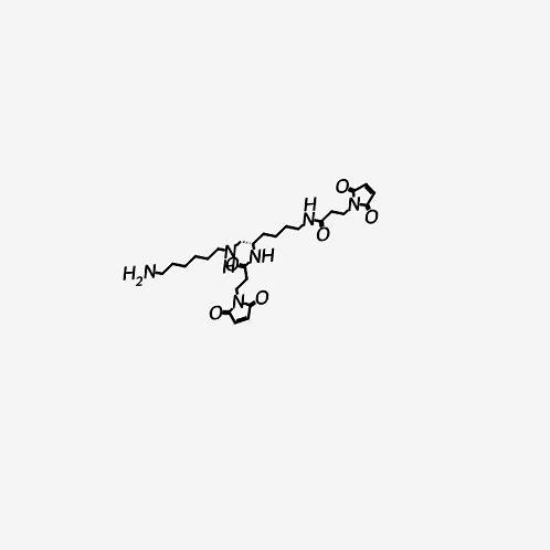 NCCCCCCNC[C@H](CCCCNC(=O)CCN1C(=O)C=CC1=O)NC(=O)CCN1C(=O)C=CC1=O